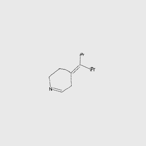 CC(C)C(=C1CC=NCC1)C(C)C